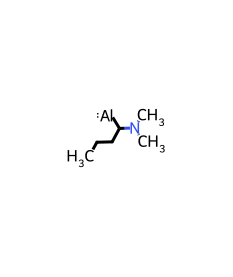 CCC[CH]([Al])N(C)C